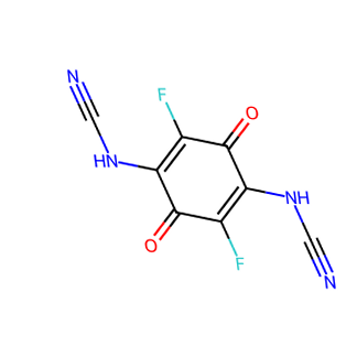 N#CNC1=C(F)C(=O)C(NC#N)=C(F)C1=O